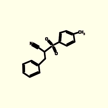 Cc1ccc(S(=O)(=O)C(C#N)Cc2ccccc2)cc1